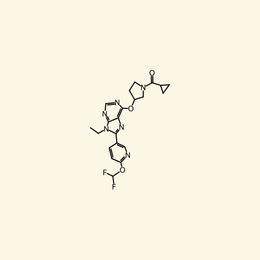 CCn1c(-c2ccc(OC(F)F)nc2)nc2c(OC3CCN(C(=O)C4CC4)C3)ncnc21